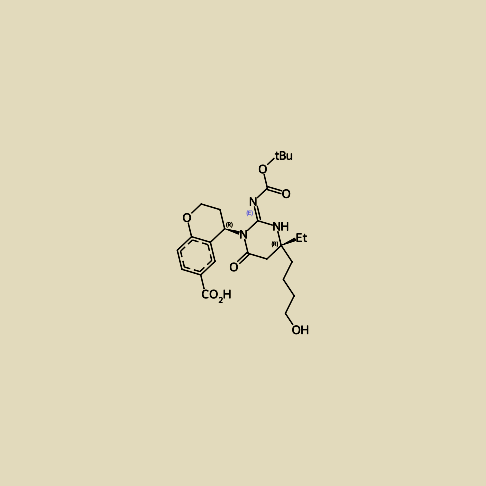 CC[C@@]1(CCCCO)CC(=O)N([C@@H]2CCOc3ccc(C(=O)O)cc32)/C(=N/C(=O)OC(C)(C)C)N1